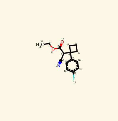 CCOC(=O)C(C#N)C1(c2ccc(F)cc2)CCC1